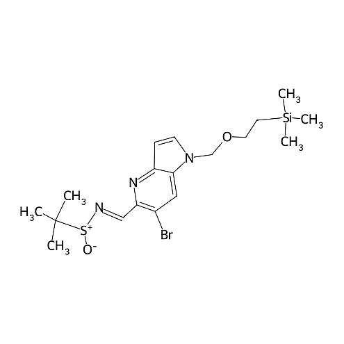 CC(C)(C)[S+]([O-])N=Cc1nc2ccn(COCC[Si](C)(C)C)c2cc1Br